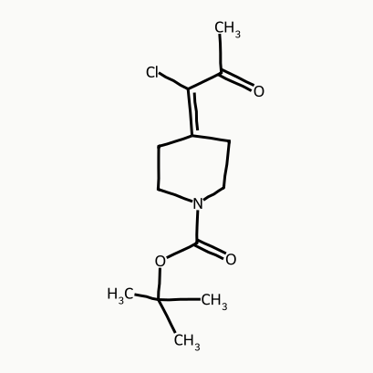 CC(=O)C(Cl)=C1CCN(C(=O)OC(C)(C)C)CC1